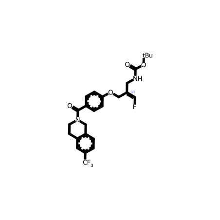 CC(C)(C)OC(=O)NC/C(=C/F)COc1ccc(C(=O)N2CCc3cc(C(F)(F)F)ccc3C2)cc1